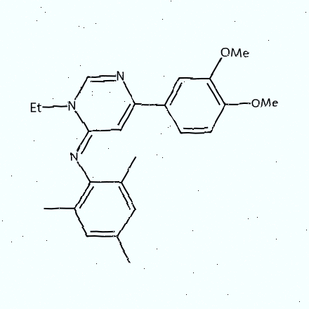 CCn1cnc(-c2ccc(OC)c(OC)c2)cc1=Nc1c(C)cc(C)cc1C